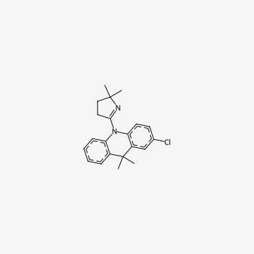 CC1(C)CCC(N2c3ccccc3C(C)(C)c3cc(Cl)ccc32)=N1